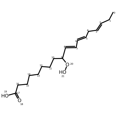 CCC=CCC=CC=CC(CCCCCCCC(=O)O)OO